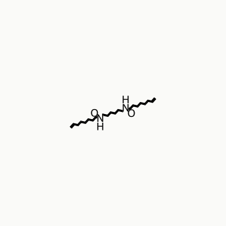 C=CCCCCCC(=O)NCCCCCCNC(=O)CCCCCC=C